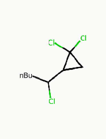 CCCCC(Cl)C1CC1(Cl)Cl